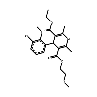 CCOC(=O)C1=C(C)NC(C)=C(C(=O)OCCOC)C1c1cccc(Cl)c1OC